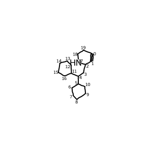 C1#CC(CC(C2CCCCC2)C2CCCCC2)NCC1